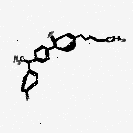 CCCCCc1ccc(-c2ccc(C(C)c3ccc(F)cc3)cc2)c(F)c1